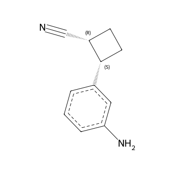 N#C[C@@H]1CC[C@@H]1c1cccc(N)c1